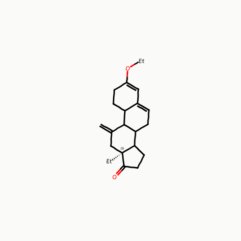 C=C1C[C@]2(CC)C(=O)CCC2C2CC=C3C=C(OCC)CCC3C12